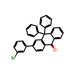 O=C1c2ccccc2C(c2ccccc2)(c2ccccc2)c2cc(-c3cccc(Br)c3)ccc21